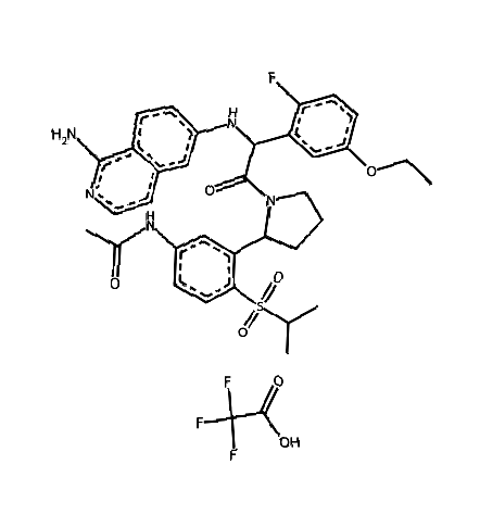 CCOc1ccc(F)c(C(Nc2ccc3c(N)nccc3c2)C(=O)N2CCCC2c2cc(NC(C)=O)ccc2S(=O)(=O)C(C)C)c1.O=C(O)C(F)(F)F